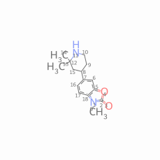 Cn1c(=O)oc2cc(C3CCNC(C)(C)C3)ccc21